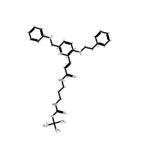 CC(C)(C)OC(=O)NCCCNC(=O)/C=C/c1nc(CSc2ccccc2)ccc1OCCc1ccccc1